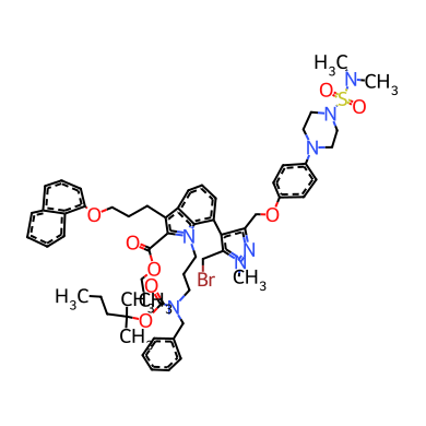 CCCC(C)(C)OC(=O)N(CCCn1c(C(=O)OCC)c(CCCOc2cccc3ccccc23)c2cccc(-c3c(COc4ccc(N5CCN(S(=O)(=O)N(C)C)CC5)cc4)nn(C)c3CBr)c21)Cc1ccccc1